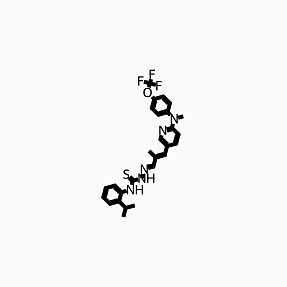 CC(/C=N/NC(=S)Nc1ccccc1C(C)C)=C\c1ccc(N(C)c2ccc(OC(F)(F)F)cc2)nc1